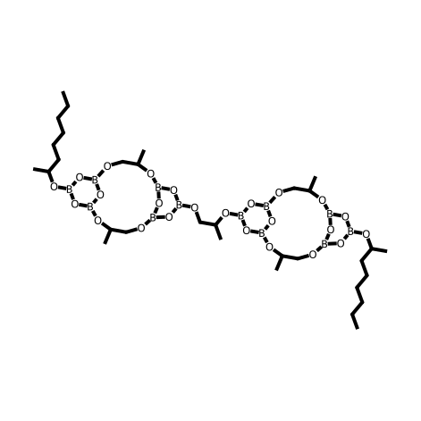 CCCCCCC(C)OB1OB2OCC(C)OB3OB(OCC(C)OB(O2)O1)OB(OCC(C)OB1OB2OCC(C)OB4OB(OCC(C)OB(O2)O1)OB(OC(C)CCCCCC)O4)O3